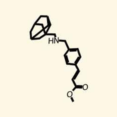 COC(=O)C=Cc1ccc(CNCC23CC4CC(CC(C4)C2)C3)cc1